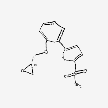 NS(=O)(=O)c1ccc(-c2ccccc2OC[C@@H]2CO2)s1